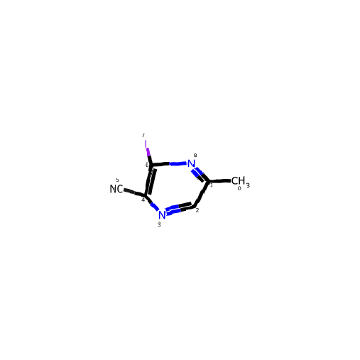 Cc1cnc(C#N)c(I)n1